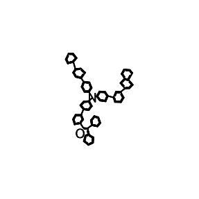 c1ccc(-c2ccc(-c3ccc(N(c4ccc(-c5cccc(-c6ccc7ccccc7c6)c5)cc4)c4ccc(-c5cccc(-c6oc7ccccc7c6-c6ccccc6)c5)cc4)cc3)cc2)cc1